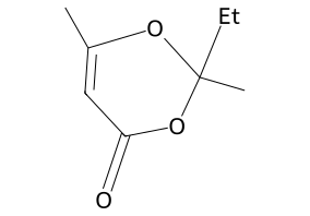 CCC1(C)OC(=O)C=C(C)O1